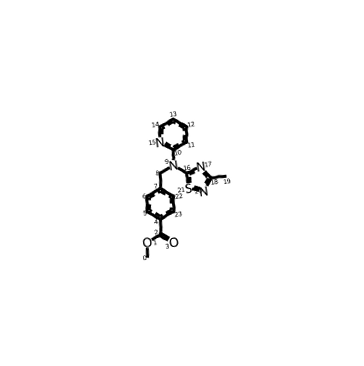 COC(=O)c1ccc(CN(c2ccccn2)c2nc(C)ns2)cc1